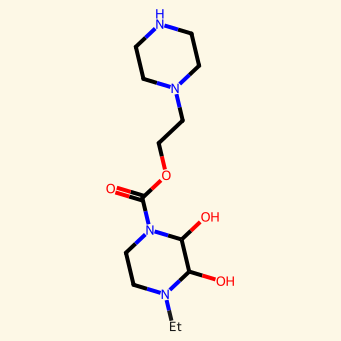 CCN1CCN(C(=O)OCCN2CCNCC2)C(O)C1O